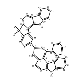 CC1(C)c2ccc(-c3nc(-c4ccccc4)c4c(ccc5sc6ccccc6c54)n3)cc2-c2c1ccc1c2sc2ccccc21